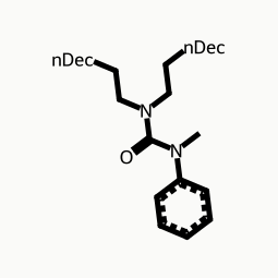 CCCCCCCCCCCCN(CCCCCCCCCCCC)C(=O)N(C)c1ccccc1